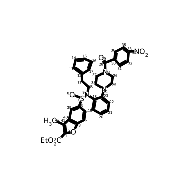 CCOC(=O)c1oc2ccc([S+]([O-])N(CCc3ccccc3)c3ccccc3N3CCN(C(=O)c4ccc([N+](=O)[O-])cc4)CC3)cc2c1C